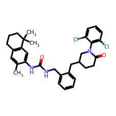 Cc1cc2c(cc1NC(=O)NCc1ccccc1CC1CCC(=O)N(c3c(Cl)cccc3Cl)C1)C(C)(C)CCC2